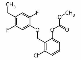 CCc1cc(F)c(OCc2c(Cl)cccc2OC(=O)OC)cc1F